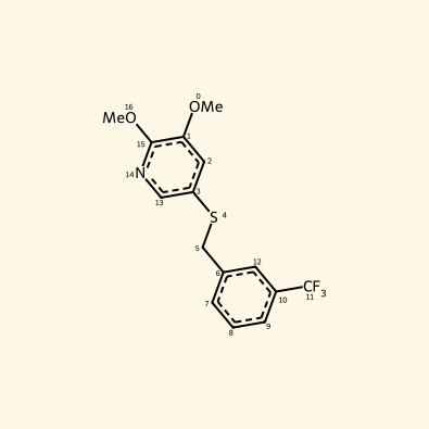 COc1cc(SCc2cccc(C(F)(F)F)c2)cnc1OC